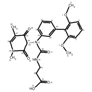 COc1cccc(OC)c1-c1cccc(N(C(=O)NCCC(=O)O)[C@H]2C(=O)C(C)=CN(C)C2=O)c1